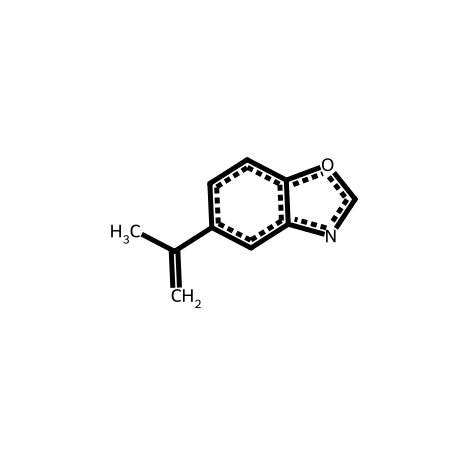 C=C(C)c1ccc2ocnc2c1